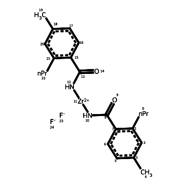 CCCc1cc(C)ccc1C(=O)[NH][Zr+2][NH]C(=O)c1ccc(C)cc1CCC.[F-].[F-]